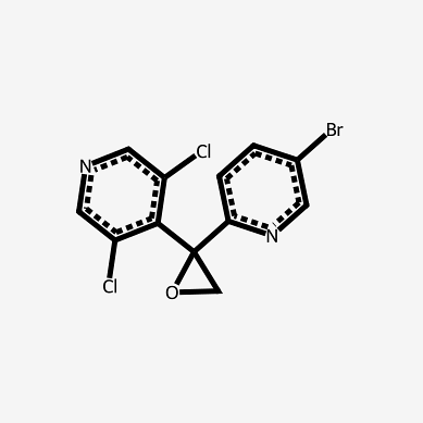 Clc1cncc(Cl)c1C1(c2ccc(Br)cn2)CO1